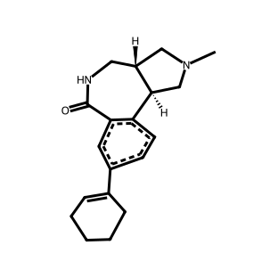 CN1C[C@H]2CNC(=O)c3cc(C4=CCCCC4)ccc3[C@@H]2C1